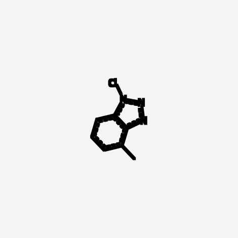 Cc1cccc2c1nnn2Cl